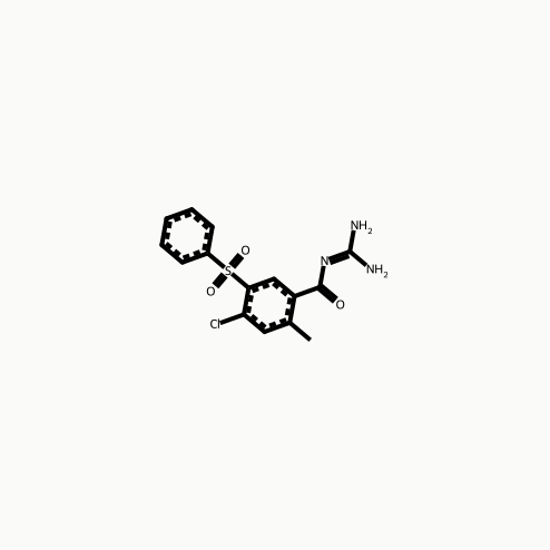 Cc1cc(Cl)c(S(=O)(=O)c2ccccc2)cc1C(=O)N=C(N)N